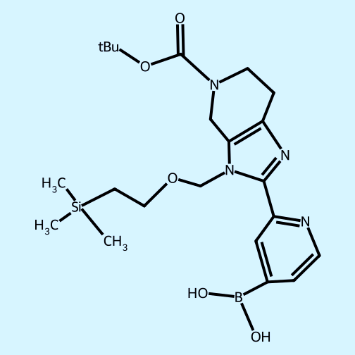 CC(C)(C)OC(=O)N1CCc2nc(-c3cc(B(O)O)ccn3)n(COCC[Si](C)(C)C)c2C1